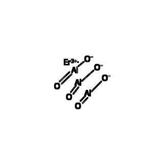 [Er+3].[O]=[Al][O-].[O]=[Al][O-].[O]=[Al][O-]